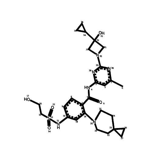 Cc1cc(NC(=O)c2ccc(NS(=O)(=O)CCO)cc2N2CCC3(CC2)CC3)nc(N2CC(O)(C3CC3)C2)n1